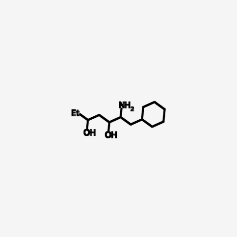 CCC(O)CC(O)C(N)CC1CCCCC1